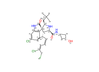 CC(/C=C\C=C(\Cl)CF)[C@H]1[C@H](C(=O)N[C@H]2C[C@@H](O)C2)N[C@H](CC(C)(C)C)[C@]12C(=O)Nc1cc(Cl)ccc12